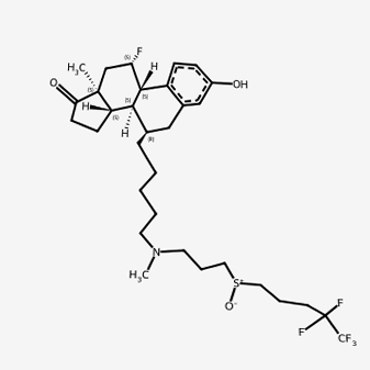 CN(CCCCC[C@@H]1Cc2cc(O)ccc2[C@@H]2[C@@H]1[C@@H]1CCC(=O)[C@@]1(C)C[C@@H]2F)CCC[S+]([O-])CCCC(F)(F)C(F)(F)F